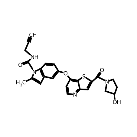 C#CCNC(=O)n1c(C)cc2cc(Oc3ccnc4cc(C(=O)N5CC[C@@H](O)C5)sc34)ccc21